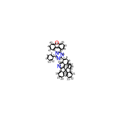 c1ccc(-c2nc(-c3cccc4c5c(ncc34)-c3ccccc3C53c4ccccc4-c4ccccc43)nc(-c3cccc4oc5ccccc5c34)n2)cc1